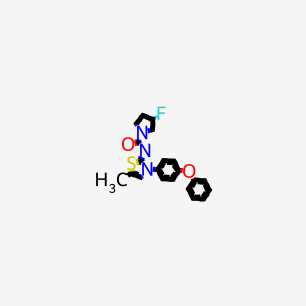 Cc1cn(-c2ccc(Oc3ccccc3)cc2)c(=NC(=O)N2CC[C@@H](F)C2)s1